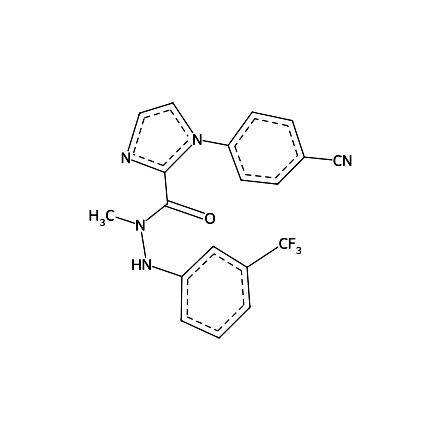 CN(Nc1cccc(C(F)(F)F)c1)C(=O)c1nccn1-c1ccc(C#N)cc1